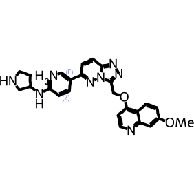 C=C(/C=C\C(=C/N)c1ccc2nnc(COc3ccnc4cc(OC)ccc34)n2n1)NC1CCNC1